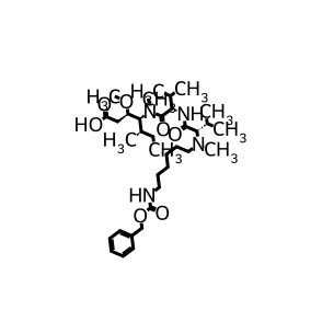 CC[C@H](C)[C@@H]([C@@H](CC(=O)O)OC)N(C)C(=O)[C@@H](NC(=O)[C@H](C(C)C)N(C)CCCCCCNC(=O)OCc1ccccc1)C(C)C